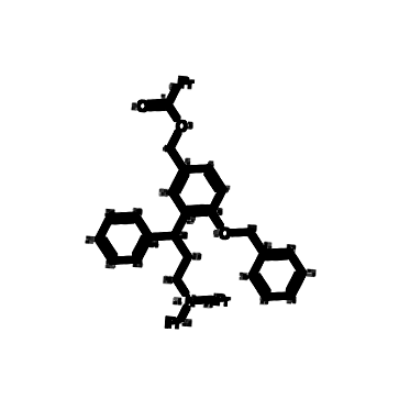 CC(C)C(=O)OCc1ccc(OCc2ccccc2)c(C(CCN(C(C)C)C(C)C)c2ccccc2)c1